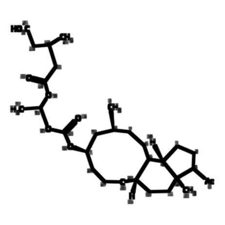 CC(=O)C1CC[C@H]2C3CC[C@H](C)C[C@H](OC(=O)OC(C)OC(=O)CC(C)CC(=O)O)CCC[C@H]3CCC12C